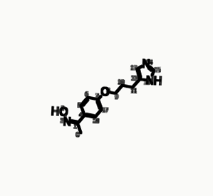 C/C(=N/O)c1ccc(OCCCc2cnc[nH]2)cc1